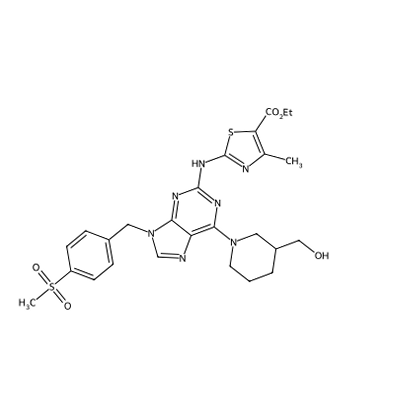 CCOC(=O)c1sc(Nc2nc(N3CCCC(CO)C3)c3ncn(Cc4ccc(S(C)(=O)=O)cc4)c3n2)nc1C